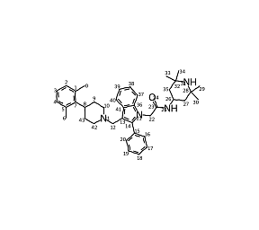 Cc1cccc(C)c1C1CCN(Cc2c(-c3ccccc3)n(CC(=O)NC3CC(C)(C)NC(C)(C)C3)c3ccccc23)CC1